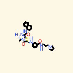 CCN1C(=O)[C@@H](CNc2cccc(C(=O)NCCCN3CCCC3)c2)S/C1=C(/N)C(=O)NC1CCCc2ccccc21